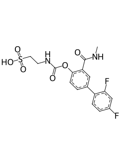 CNC(=O)c1cc(-c2ccc(F)cc2F)ccc1OC(=O)NCCS(=O)(=O)O